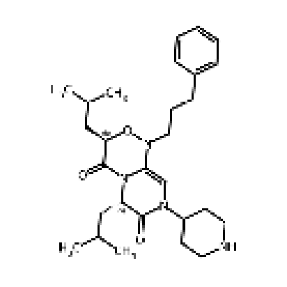 CC(C)C[C@H]1ON(CCCc2ccccc2)C2=CN(C3CCNCC3)C(=O)[C@H](CC(C)C)N2C1=O